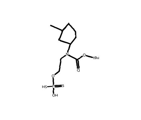 CC1CCCC(N(CCOP(O)(=S)S)C(=O)OC(C)(C)C)C1